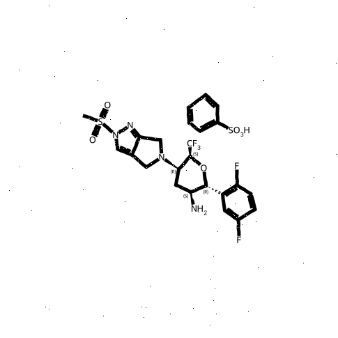 CS(=O)(=O)n1cc2c(n1)CN([C@@H]1C[C@H](N)[C@@H](c3cc(F)ccc3F)O[C@@H]1C(F)(F)F)C2.O=S(=O)(O)c1ccccc1